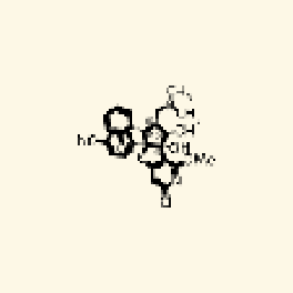 COc1nc(Cl)cc2c1[C@]1(O)[C@H](O)[C@H](CN(C)C)[C@@H](C3C=CC=CC3C)[C@]1(c1ccc(C#N)cc1)O2